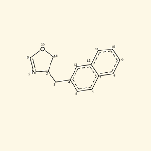 C1=NC(Cc2ccc3ccccc3c2)CO1